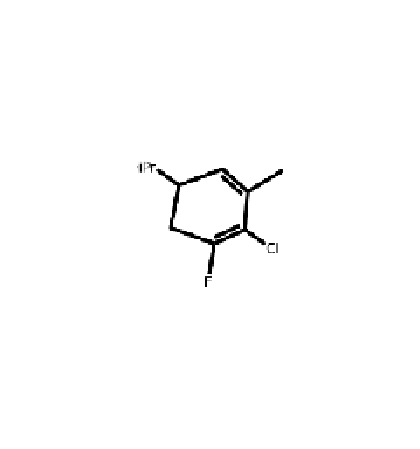 C[C](C)C1C=C(C)C(Cl)=C(F)C1